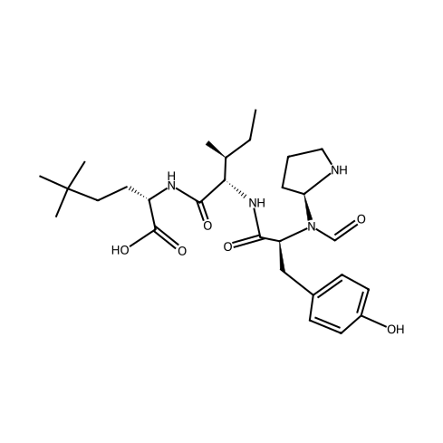 CC[C@H](C)[C@H](NC(=O)[C@H](Cc1ccc(O)cc1)N(C=O)[C@H]1CCCN1)C(=O)N[C@@H](CCC(C)(C)C)C(=O)O